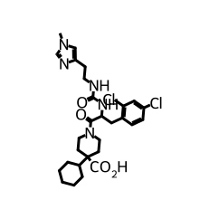 Cn1cnc(CCNC(=O)NC(Cc2ccc(Cl)cc2Cl)C(=O)N2CCC(C(=O)O)(C3CCCCC3)CC2)c1